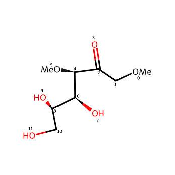 COCC(=O)[C@H](OC)[C@@H](O)[C@H](O)CO